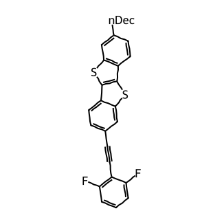 CCCCCCCCCCc1ccc2c(c1)sc1c3ccc(C#Cc4c(F)cccc4F)cc3sc21